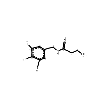 CCCC(=O)NCc1cc(F)c(F)c(F)c1